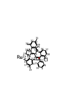 CCP(C(C=Cc1ccccc1)=C1N(c2c(C)cc(C)cc2C)CCN1c1c(C)cc(C)cc1C)c1cccc(Cl)c1Cl.[Ru+2]